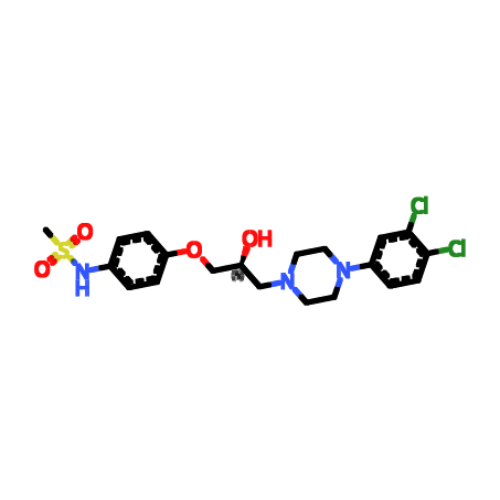 CS(=O)(=O)Nc1ccc(OC[C@@H](O)CN2CCN(c3ccc(Cl)c(Cl)c3)CC2)cc1